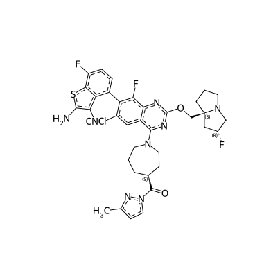 Cc1ccn(C(=O)[C@H]2CCCN(c3nc(OC[C@@]45CCCN4C[C@H](F)C5)nc4c(F)c(-c5ccc(F)c6sc(N)c(C#N)c56)c(Cl)cc34)CC2)n1